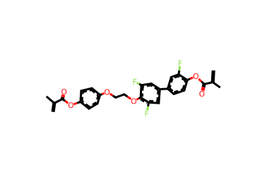 C=C(C)C(=O)Oc1ccc(OCCOc2c(F)cc(-c3ccc(OC(=O)C(=C)C)c(F)c3)cc2F)cc1